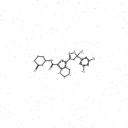 O=C1CCCC(NC(=O)c2sc(C3=NOC(c4cc(Cl)cc(Cl)c4)(C(F)(F)F)C3)c3c2CCCC3)C1